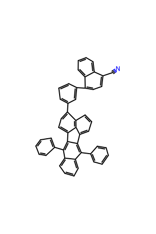 N#Cc1ccc(-c2cccc(-c3ccc4c5c(cccc35)-c3c-4c(-c4ccccc4)c4ccccc4c3-c3ccccc3)c2)c2ccccc12